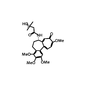 COc1cc2c(c(OC)c1OC)CC[C@H](NC(=O)C[Si](C)(C)O)c1cc(=O)c(OC)ccc1-2